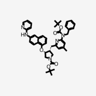 Cc1cc(C[C@@H]2CN(C(=O)OC(C)(C)C)C[C@@H]2Oc2cccc3cc(Nc4ccccn4)ccc23)nc(N(Cc2ccccc2)C(=O)OC(C)(C)C)c1